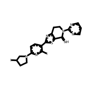 N=C1c2sc(-c3ccc(N4CCC(I)C4)nc3I)nc2CCN1c1ncccn1